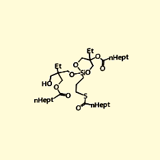 CCCCCCCC(=O)OCC(CC)(CO)CO[Si]1(CCCSC(=O)CCCCCCC)OCC(CC)(OC(=O)CCCCCCC)CO1